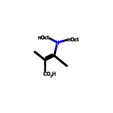 CCCCCCCCN(CCCCCCCC)/C(C)=C(\C)C(=O)O